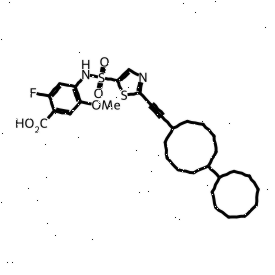 COc1cc(C(=O)O)c(F)cc1NS(=O)(=O)c1cnc(C#CC2CCCCC(C3CCCCCCCC3)CCCC2)s1